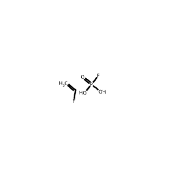 C=CF.O=P(O)(O)F